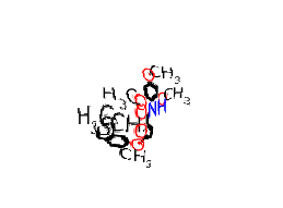 COc1cc(OC)c(NC(=O)c2ccc(Oc3cc4c(cc3C)C=C[Si]4(C)C)o2)c(OC)c1